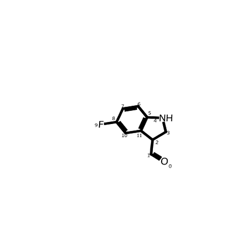 O=CC1CNc2ccc(F)cc21